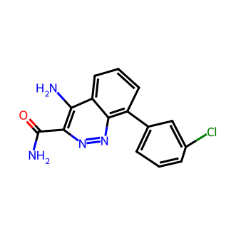 NC(=O)c1nnc2c(-c3cccc(Cl)c3)cccc2c1N